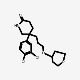 O=C1CCC(CCCOC2CCOCC2)(c2ccc(Cl)c(Cl)c2)CN1